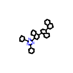 c1ccc(-c2nc(-c3ccccc3)nc(-c3ccc(-c4ccc(-c5cccc6ccccc56)c5ccccc45)c4ccccc34)n2)cc1